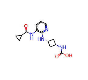 O=C(O)N[C@H]1C[C@H](Nc2ncccc2NC(=O)C2CC2)C1